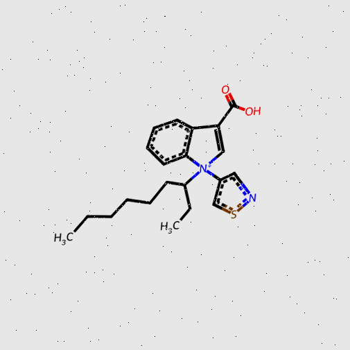 CCCCCCC(CC)[N+]1(c2cnsc2)C=C(C(=O)O)c2ccccc21